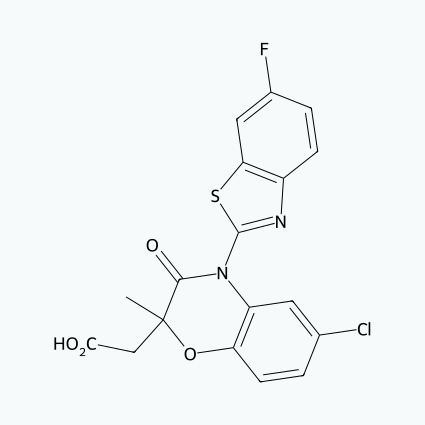 CC1(CC(=O)O)Oc2ccc(Cl)cc2N(c2nc3ccc(F)cc3s2)C1=O